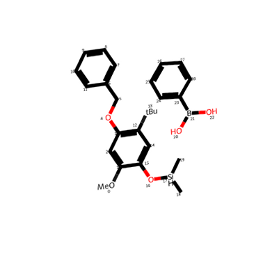 COc1cc(OCc2ccccc2)c(C(C)(C)C)cc1O[SiH](C)C.OB(O)c1ccccc1